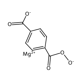 O=C([O-])c1ccc(C(=O)O[O-])cc1.[Mg+2]